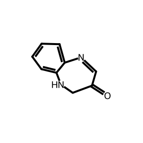 O=C1C=Nc2ccccc2NC1